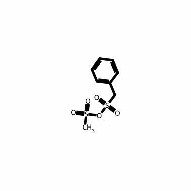 CS(=O)(=O)OS(=O)(=O)Cc1ccccc1